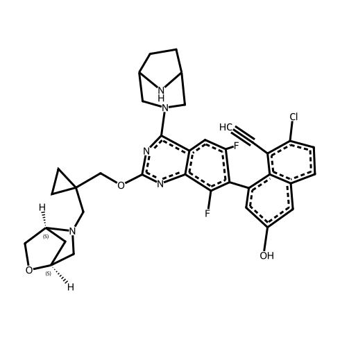 C#Cc1c(Cl)ccc2cc(O)cc(-c3c(F)cc4c(N5CC6CCC(C5)N6)nc(OCC5(CN6C[C@@H]7C[C@H]6CO7)CC5)nc4c3F)c12